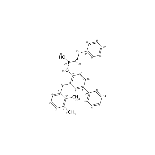 Cc1cccc(Cc2cc(-c3ccccc3)ccc2OP(O)OCc2ccccc2)c1C